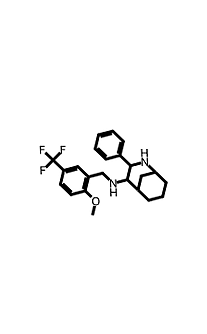 COc1ccc(C(F)(F)F)cc1CNC1C2CCCC(C2)NC1c1ccccc1